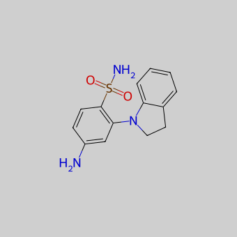 Nc1ccc(S(N)(=O)=O)c(N2CCc3ccccc32)c1